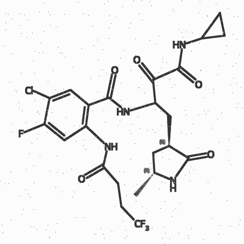 C[C@@H]1C[C@@H](CC(NC(=O)c2cc(Cl)c(F)cc2NC(=O)CCC(F)(F)F)C(=O)C(=O)NC2CC2)C(=O)N1